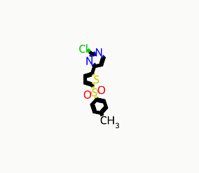 Cc1ccc(S(=O)(=O)c2ccc(-c3ccnc(Cl)n3)s2)cc1